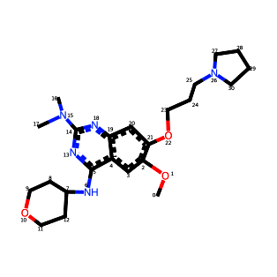 COc1cc2c(NC3CCOCC3)nc(N(C)C)nc2cc1OCCCN1CCCC1